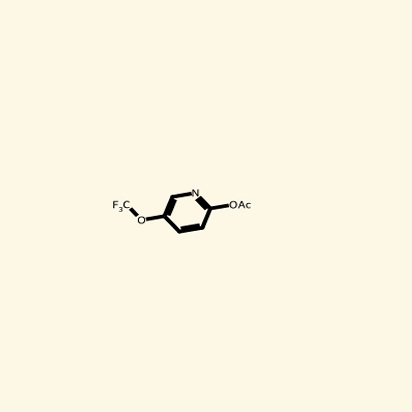 CC(=O)Oc1ccc(OC(F)(F)F)cn1